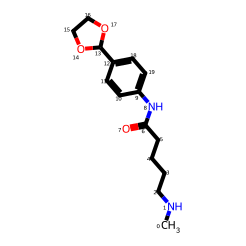 CNCCCCC(=O)Nc1ccc(C2OCCO2)cc1